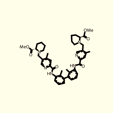 COC(=O)[C@@H]1CCCCN1Cc1cnc(C(=O)Nc2cccc(-c3cccc(NC(=O)c4cc(C)c(CN5CCCC[C@H]5C(=O)OC)cn4)c3C)c2C)cc1C